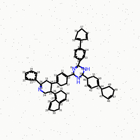 C1=CC(c2ccc(C3=NC(C4=CC=C(C5CC(c6ccccc6)=NCC5C5=C6C=CCCC6=CCC5)CC4)NC(C4C=CC(C5CC=CCC5)=CC4)N3)cc2)=CCC1